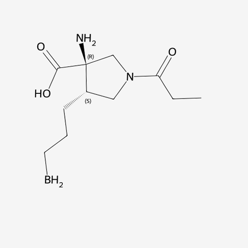 BCCC[C@H]1CN(C(=O)CC)C[C@@]1(N)C(=O)O